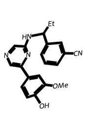 CCC(Nc1cncc(-c2ccc(O)c(OC)c2)n1)c1cccc(C#N)c1